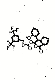 COc1ccccc1-c1c(OC(=O)N(C)Cc2cc(C(F)(F)F)cc(C(F)(F)F)c2)oc(=O)c2ccccc12